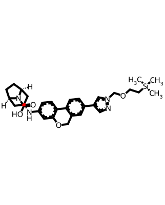 C[Si](C)(C)CCOCn1cc(-c2ccc3c(c2)COc2cc(N[C@@H]4C[C@H]5CC[C@@H](C4)N5C(=O)O)ccc2-3)cn1